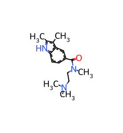 Cc1[nH]c2ccc(C(=O)N(C)CCN(C)C)cc2c1C